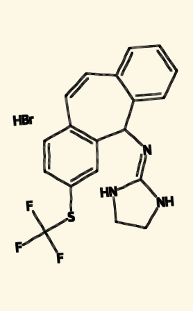 Br.FC(F)(F)Sc1ccc2c(c1)C(N=C1NCCN1)c1ccccc1C=C2